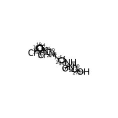 O=C(N[C@H]1CC[C@H](CCN2CCN(c3cccc(Cl)c3Cl)CC2)CC1)N1CCC(O)CC1